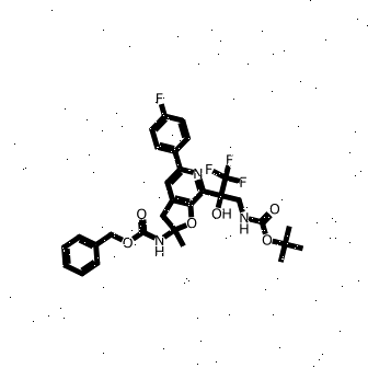 CC(C)(C)OC(=O)NCC(O)(c1nc(-c2ccc(F)cc2)cc2c1OC(C)(NC(=O)OCc1ccccc1)C2)C(F)(F)F